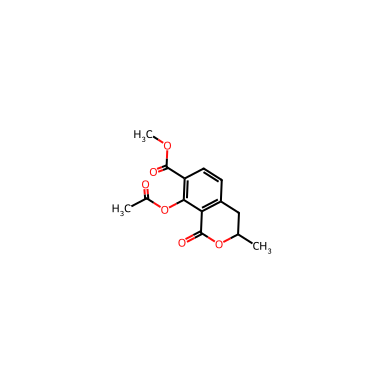 COC(=O)c1ccc2c(c1OC(C)=O)C(=O)OC(C)C2